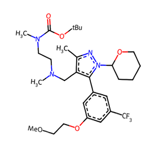 COCCOc1cc(-c2c(CN(C)CCN(C)C(=O)OC(C)(C)C)c(C)nn2C2CCCCO2)cc(C(F)(F)F)c1